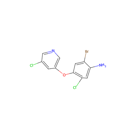 Nc1cc(Cl)c(Oc2cncc(Cl)c2)cc1Br